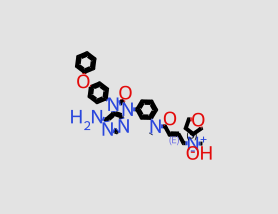 CN(C(=O)/C=C/C[N+](C)(O)[C@H]1CCOC1)c1cccc(-n2c(=O)n(-c3ccc(Oc4ccccc4)cc3)c3c(N)ncnc32)c1